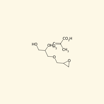 C=C(C)C(=O)O.OCC(O)COCC1CO1